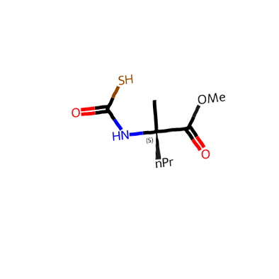 CCC[C@](C)(NC(=O)S)C(=O)OC